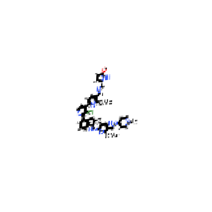 COc1nc(-c2ccnc(-c3cccc4c3CC[C@@H]4Nc3nc(OC)c(CNC4CCN(C(C)=O)CC4)cc3C(F)(F)F)c2Cl)ccc1CNC[C@@H]1CCC(=O)N1